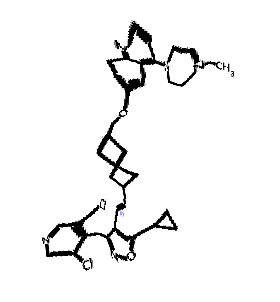 CN1CCN(c2ccnc3ccc(OCC4CC5(CC(/C=C/c6c(-c7c(Cl)cncc7Cl)noc6C6CC6)C5)C4)cc23)CC1